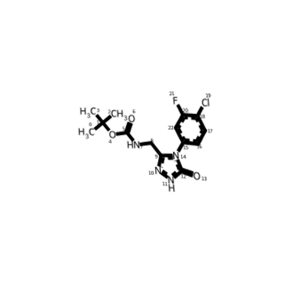 CC(C)(C)OC(=O)NCc1n[nH]c(=O)n1-c1ccc(Cl)c(F)c1